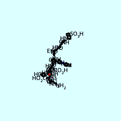 CCOP(=O)(CCSC[C@H](NC(=O)c1ccc(/N=N/c2ccc(N(C)C)cc2)cc1)C(=O)NCC(=O)N[C@@H](CCC(=O)O)C(=O)N[C@@H](CO)C(=O)N[C@@H](Cc1ccc(O)cc1)C(=O)N[C@@H](CCC(=O)O)C(=O)N[C@@H](CCCCN)C(N)=O)OCCNC(=O)CCC(=O)NCCNc1cccc2c(S(=O)(=O)O)cccc12